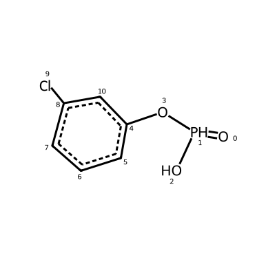 O=[PH](O)Oc1cccc(Cl)c1